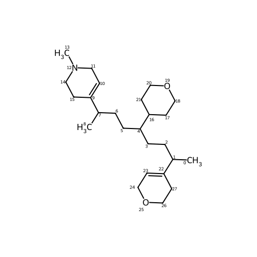 CC(CCC(CCC(C)C1=CCN(C)CC1)C1CCOCC1)C1=CCOCC1